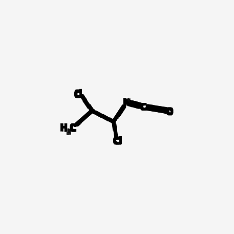 CC(Cl)C(Cl)N=C=O